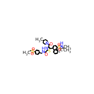 CCS(=O)(=O)c1ccc(CNC(=O)c2nc(C(=O)N3CCC(C)CC3)c(-c3ccc(S(=O)(=O)NC(C)(C)C)c4ccccc34)s2)cc1